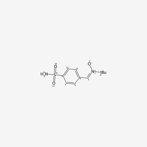 CC(C)(C)/[N+]([O-])=C/c1ccc(S(N)(=O)=O)cc1